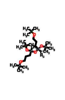 C[Si](C)(C)OCCC[Si](C)(O[Si](C)(C)C)O[Si](C)(CCCO[Si](C)(C)C)O[Si](C)(C)C